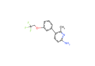 Cc1nc(N)ccc1-c1cccc(OCC(F)(F)F)c1